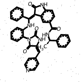 C[C@@H](NC(=O)c1ccc2c(c1)C(=C(Nc1ccccc1N1C(=O)NC(=Cc3ccncc3)C1=O)c1ccccc1)C(=O)N2)c1ccccc1